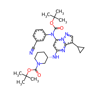 CC(C)(C)OC(=O)N1CCC[C@H](Nc2cc(N(C(=O)OC(C)(C)C)c3cccc(C#N)c3)n3ncc(C4CC4)c3n2)C1